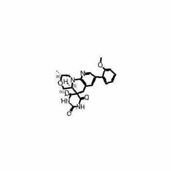 COc1ccccc1-c1cnc2c(c1)CC1(C(=O)NC(=O)NC1=O)[C@H]1[C@H](C)O[C@H](C)CN21